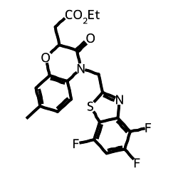 CCOC(=O)CC1Oc2cc(C)ccc2N(Cc2nc3c(F)c(F)cc(F)c3s2)C1=O